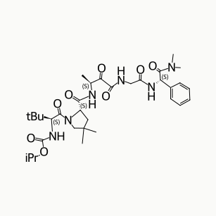 CC(C)OC(=O)N[C@H](C(=O)N1CC(C)(C)C[C@H]1C(=O)N[C@@H](C)C(=O)C(=O)NCC(=O)N[C@H](C(=O)N(C)C)c1ccccc1)C(C)(C)C